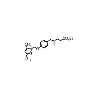 CCOC(=O)CCNCc1ccc(OCn2nc(C)cc2C)cc1